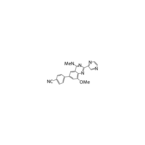 CNc1nc(-c2cnccn2)nc2c(OC)cc(-c3ccc(C#N)cc3)cc12